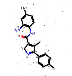 [C-]#[N+]c1ccc(NC(=O)C2=C(C)C(c3ccc(C)cc3)=NC2)c(N)c1